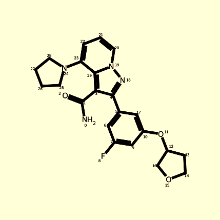 NC(=O)c1c(-c2cc(F)cc(OC3CCOC3)c2)nn2cccc(N3CCCC3)c12